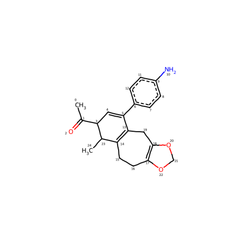 CC(=O)C1C=C(c2ccc(N)cc2)C2=C(CCC3=C(C2)OCO3)C1C